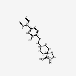 C=CN(N=C)c1ccc(CCN2CCC3(CCNC3=O)CC2)c(C)n1